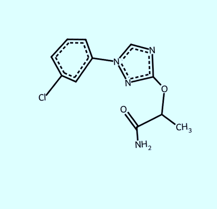 CC(Oc1ncn(-c2cccc(Cl)c2)n1)C(N)=O